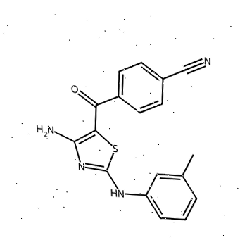 Cc1cccc(Nc2nc(N)c(C(=O)c3ccc(C#N)cc3)s2)c1